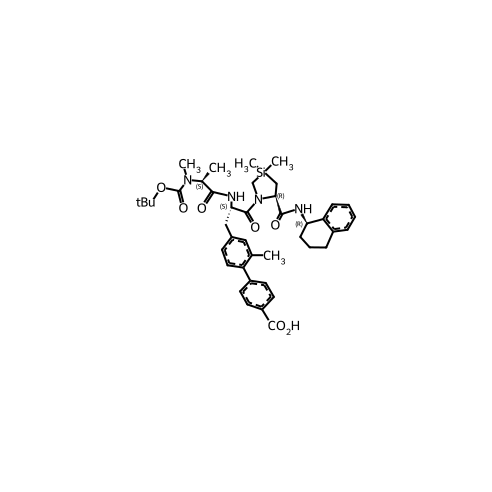 Cc1cc(C[C@H](NC(=O)[C@H](C)N(C)C(=O)OC(C)(C)C)C(=O)N2C[Si](C)(C)C[C@H]2C(=O)N[C@@H]2CCCc3ccccc32)ccc1-c1ccc(C(=O)O)cc1